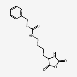 O=C(NCCCCC1NC(=O)OC1=O)OCc1ccccc1